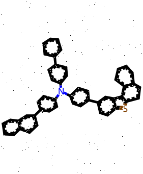 c1ccc(-c2ccc(N(c3ccc(-c4ccc5ccccc5c4)cc3)c3ccc(-c4ccc5sc6ccc7ccccc7c6c5c4)cc3)cc2)cc1